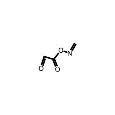 C=NOC(=O)C=O